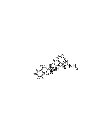 NC1=NC2(COCc3ccc(NS(=O)(=O)c4ccc5ccccc5c4)cc32)CS1